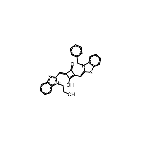 O=C1C(/C=C2/Sc3ccccc3N2Cc2ccccc2)=C(O)C/1=C\c1sc2ccccc2[n+]1CCO